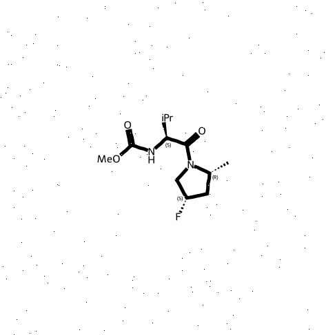 COC(=O)N[C@H](C(=O)N1C[C@@H](F)C[C@H]1C)C(C)C